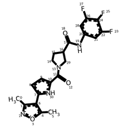 Cc1noc(C)c1-c1ccc(C(=O)N2CCC(C(=O)Nc3cc(F)c(F)c(F)c3)C2)[nH]1